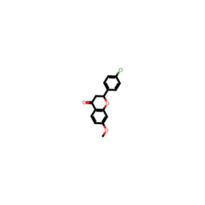 COc1ccc2c(c1)OC(c1ccc(Cl)cc1)CC2=O